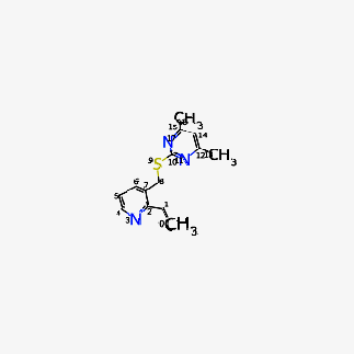 CCc1ncccc1CSc1nc(C)cc(C)n1